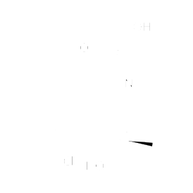 CC(C)N(C(=O)O)C(c1ccccc1Cl)[C@@H](C)O